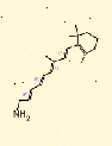 CC1=C(/C=C/C(C)=C/C=C/C=C/CN)C(C)(C)CCC1